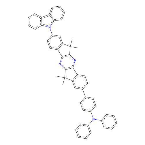 CC1(C)c2cc(-c3ccc(N(c4ccccc4)c4ccccc4)cc3)ccc2-c2nc3c(nc21)-c1ccc(-n2c4ccccc4c4ccccc42)cc1C3(C)C